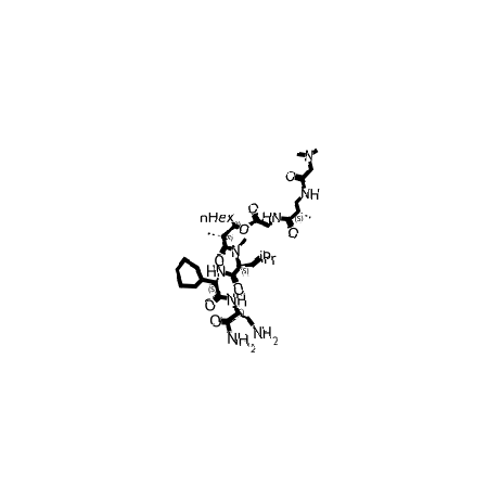 CCCCCC[C@@H](OC(=O)CNC(=O)[C@@H](C)CNC(=O)CN(C)C)[C@@H](C)C(=O)N(C)[C@@H](CC(C)C)C(=O)N[C@H](C(=O)N[C@@H](CN)C(N)=O)C1CCCCC1